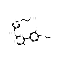 CCOc1ccc(-c2nc(Nc3cnn(CCN)c3)ncc2C)cc1F